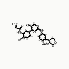 C=CC(=O)Nc1cc(-c2nc(Nc3ccc(OC)c(N4CCOCC4)c3)ncc2Cl)ccc1F